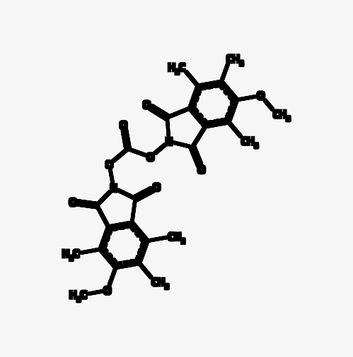 COc1c(C)c(C)c2c(c1C)C(=O)N(OC(=O)ON1C(=O)c3c(C)c(C)c(OC)c(C)c3C1=O)C2=O